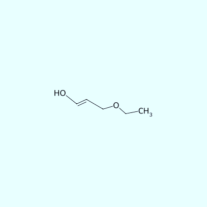 CCOCC=CO